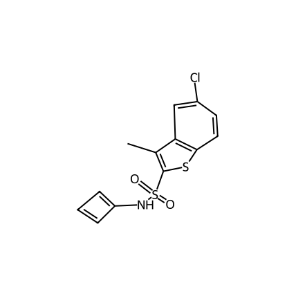 Cc1c(S(=O)(=O)NC2=CC=C2)sc2ccc(Cl)cc12